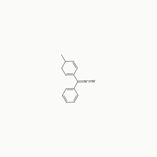 CC1C=CC(C(=[N+]=[N-])c2ccccc2)=CC1